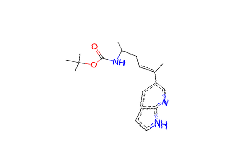 CC(=CCC(C)NC(=O)OC(C)(C)C)c1cnc2[nH]ccc2c1